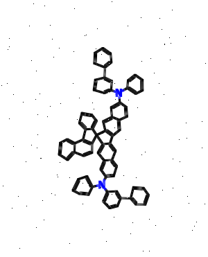 c1ccc(-c2cccc(N(c3ccccc3)c3ccc4cc5c(cc4c3)C3(c4cc6cc(N(c7ccccc7)c7cccc(-c8ccccc8)c7)ccc6cc4-5)c4ccccc4-c4c3ccc3ccccc43)c2)cc1